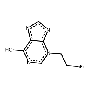 CC(C)CCn1cnc(O)c2ncnc1-2